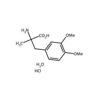 COc1ccc(CC(C)(N)C(=O)O)cc1OC.Cl.O